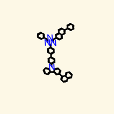 c1ccc(-c2ccc3cc(-c4nc(-c5ccccc5)nc(-c5ccc(-c6ccc(-n7c8ccccc8c8cc(-c9cccc%10ccccc9%10)ccc87)cc6)cc5)n4)ccc3c2)cc1